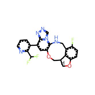 Fc1ccc2c3c1CNc1c(cc(-c4cccnc4C(F)F)c4nncn14)OC[C@@H]3CO2